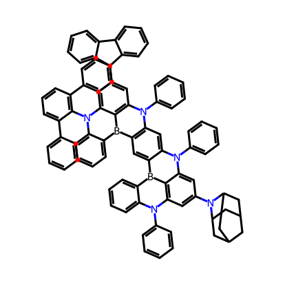 c1ccc(-c2cccc(-c3ccccc3)c2N2c3ccccc3B3c4cc5c(cc4N(c4ccccc4)c4cc(C6c7ccccc7-c7ccccc76)cc2c43)N(c2ccccc2)c2cc(N3C4CC6CC(C4)CC3C6)cc3c2B5c2ccccc2N3c2ccccc2)cc1